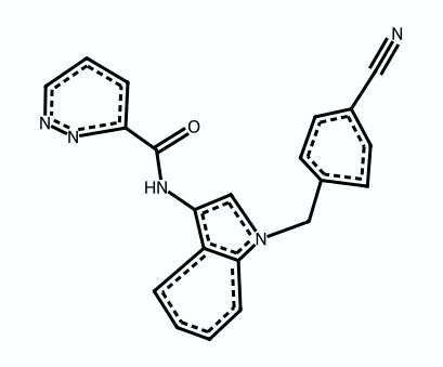 N#Cc1ccc(Cn2cc(NC(=O)c3cccnn3)c3ccccc32)cc1